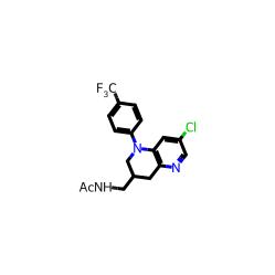 CC(=O)NCC1Cc2ncc(Cl)cc2N(c2ccc(C(F)(F)F)cc2)C1